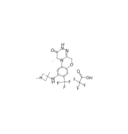 C[C@@H]1C(=O)NN=C2COc3cc(C(F)(F)F)c(NC4(C)CN(C)C4)cc3N21.O=C(O)C(F)(F)F